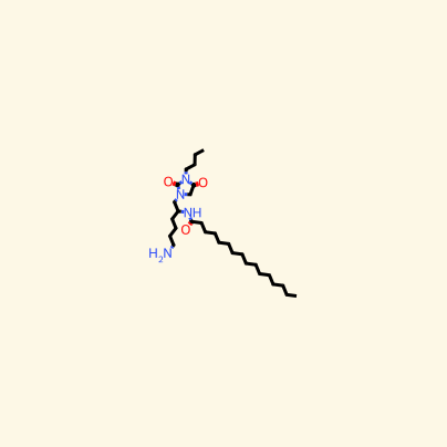 CCCCCCCCCCCCCCCC(=O)NC(CCCCN)CN1CC(=O)N(CCCC)C1=O